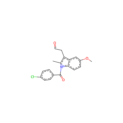 COc1ccc2c(c1)c(CC=O)c(C)n2C(=O)c1ccc(Cl)cc1